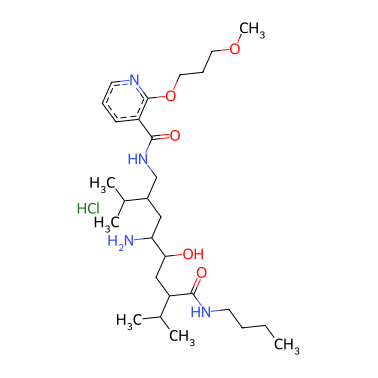 CCCCNC(=O)C(CC(O)C(N)CC(CNC(=O)c1cccnc1OCCCOC)C(C)C)C(C)C.Cl